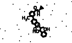 Cc1ccc(C(=O)NC2CC2)cc1-c1ccc2c(c1)CN(C(CO)C(O)c1ccccc1)C2=O